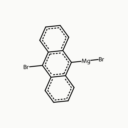 [Br][Mg][c]1c2ccccc2c(Br)c2ccccc12